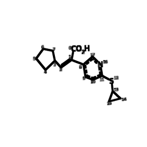 O=C(O)C(=CC1CCCC1)c1ccc(SC2CC2)nc1